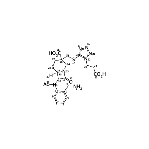 CC(=O)N(c1ccccc1CN)C1C(=O)N2CC(CSc3nnnn3CCC(=O)O)(C(=O)O)CS[C@H]12